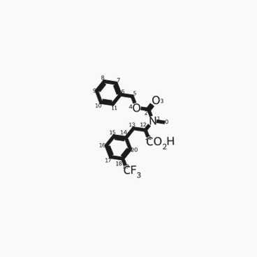 CN(C(=O)OCc1ccccc1)C(Cc1cccc(C(F)(F)F)c1)C(=O)O